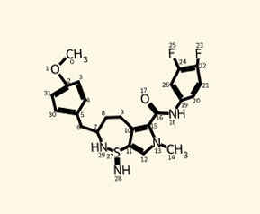 COc1ccc(CC2CCc3c(cn(C)c3C(=O)Nc3ccc(F)c(F)c3)S(=N)N2)cc1